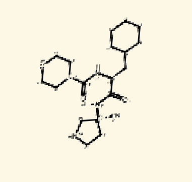 N#C[C@]1(NC(=O)[C@H](CC2CCCCC2)NC(=O)N2CCOCC2)CCNC1